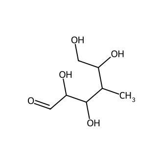 CC(C(O)CO)C(O)C(O)C=O